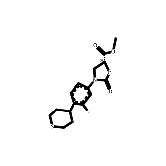 COC(=O)[C@H]1CN(c2ccc(C3CCSCC3)c(F)c2)C(=O)O1